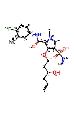 C=CC[C@@H](O)CCOc1c(S(=O)(=O)N=C)cn(C)c1C(=O)Nc1ccc(F)c(C#N)c1